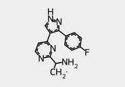 [CH2]C(N)c1nccc(-c2c[nH]nc2-c2ccc(F)cc2)n1